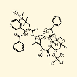 CC[Si](CC)(CC)O[C@H]1C[C@H]2OC[C@@]2(OC(C)=O)[C@H]2[C@H](OC(=O)c3ccccc3)[C@]3(O)C[C@H](OC(=O)[C@H](CC(C)(C)[Si](C)(C)O)[C@@H](NC(=O)c4ccccc4)c4ccccc4)C(C)=C([C@@H](O)C(=O)[C@]12C)C3(C)C